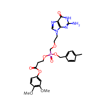 COc1ccc(OC(=O)CCOP(=O)(COCCn2cnc3c(=O)[nH]c(N)nc32)OCc2ccc(C)cc2)cc1OC